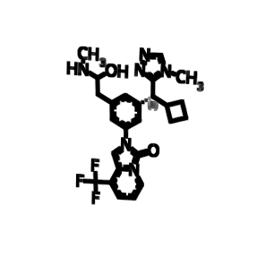 CNC(O)Cc1cc([C@H](c2nncn2C)C2CCC2)cc(-n2cc3c(C(F)(F)F)cccn3c2=O)c1